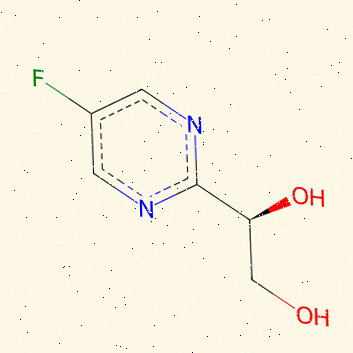 OC[C@H](O)c1ncc(F)cn1